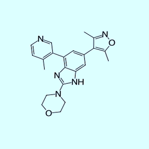 Cc1ccncc1-c1cc(-c2c(C)noc2C)cc2[nH]c(N3CCOCC3)nc12